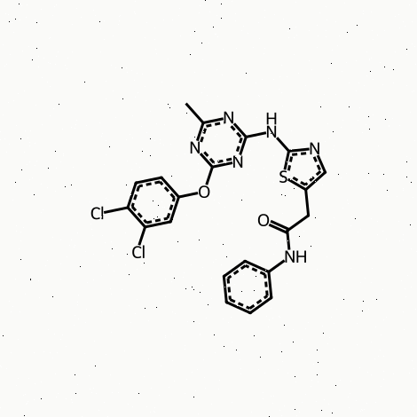 Cc1nc(Nc2ncc(CC(=O)Nc3ccccc3)s2)nc(Oc2ccc(Cl)c(Cl)c2)n1